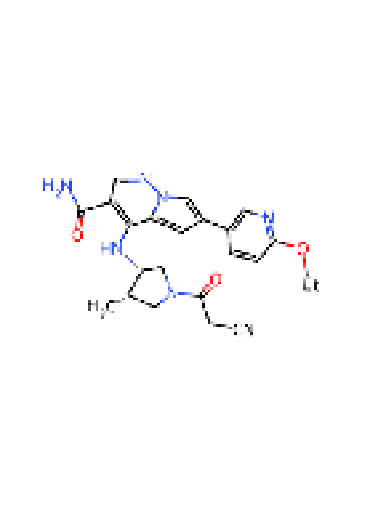 CCOc1ccc(-c2cc3c(N[C@@H]4CN(C(=O)CC#N)C[C@@H]4C)c(C(N)=O)cnn3c2)cn1